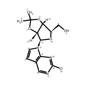 CC1(C)O[C@@H]2[C@H](O1)[C@@H](CO)O[C@H]2n1ccc2[c]nc(Cl)nc21